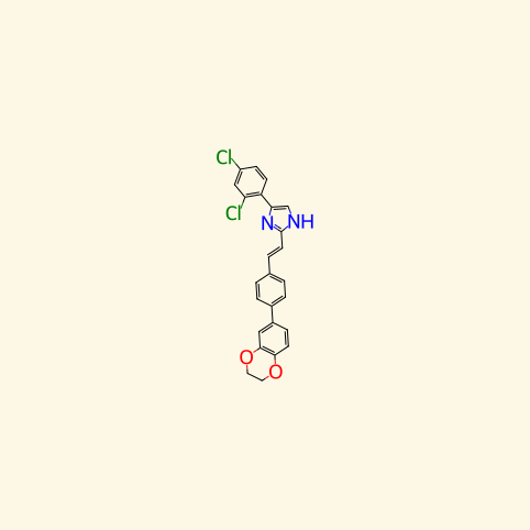 Clc1ccc(-c2c[nH]c(C=Cc3ccc(-c4ccc5c(c4)OCCO5)cc3)n2)c(Cl)c1